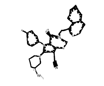 N#Cc1c(N2CCC[C@H](N)C2)n(-c2ccc(F)cc2)c2c(=O)n(Cc3nccc4ccccc34)cnc12